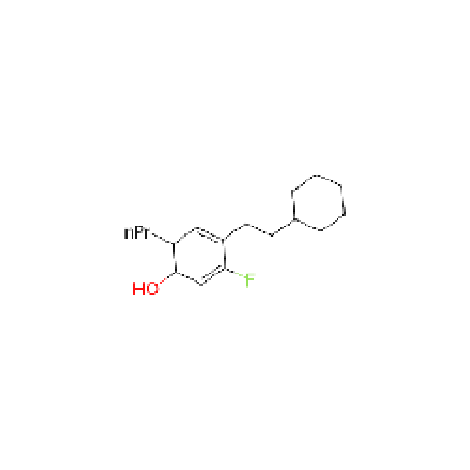 CCCC1C=C(CCC2CCCCC2)C(F)=CC1O